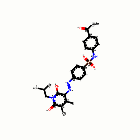 CCCCC(CC)Cn1c(O)c(/N=N/c2ccc(S(=O)(=O)Nc3ccc(C(=O)OC)cc3)cc2)c(C)c(C#N)c1=O